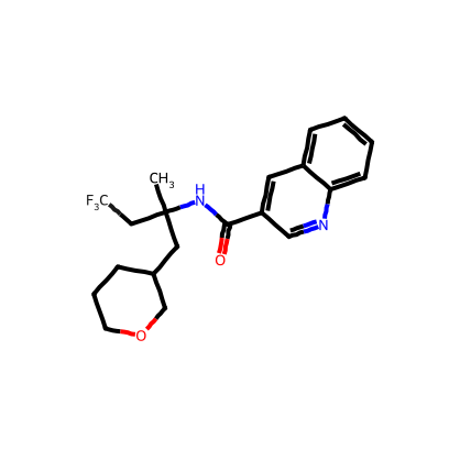 CC(CC1CCCOC1)(CC(F)(F)F)NC(=O)c1cnc2ccccc2c1